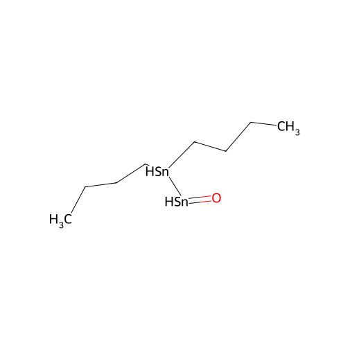 CCC[CH2][SnH]([CH2]CCC)[SnH]=[O]